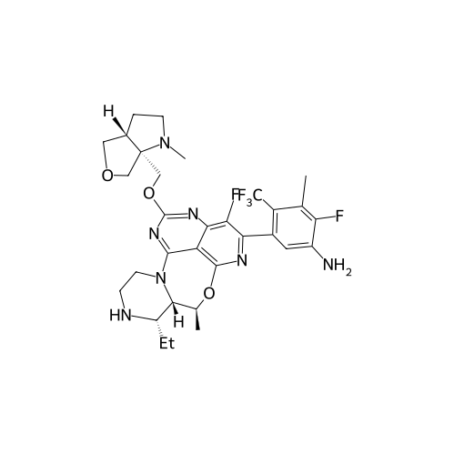 CC[C@@H]1NCCN2c3nc(OC[C@]45COC[C@@H]4CCN5C)nc4c(F)c(-c5cc(N)c(F)c(C)c5C(F)(F)F)nc(c34)O[C@@H](C)[C@H]12